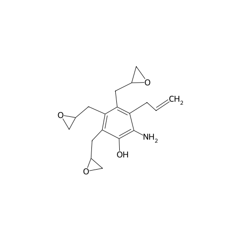 C=CCc1c(N)c(O)c(CC2CO2)c(CC2CO2)c1CC1CO1